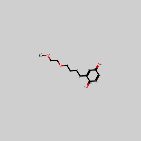 CCOCCOCCCCC1=CC(=O)C=CC1=O